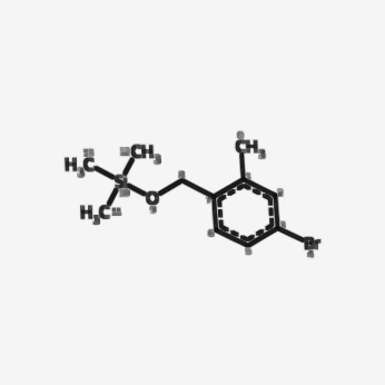 Cc1cc(Br)ccc1CO[Si](C)(C)C